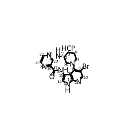 Cl.N[C@@H]1CCCN(c2c(Br)cnc3[nH]cc(NC(=O)c4cnccn4)c23)C1